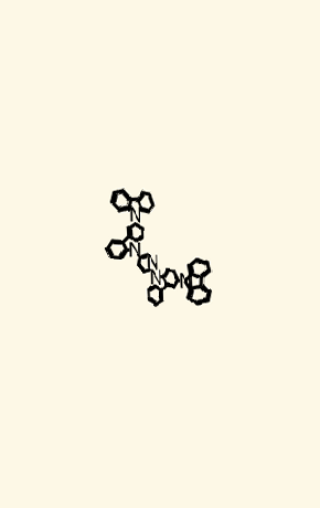 c1ccc2c(c1)c1ccccc1n2-c1ccc2c(c1)c1ccccc1n2-c1ccc(-n2c3ccccc3c3cc(-n4c5ccccc5c5ccccc54)ccc32)nc1